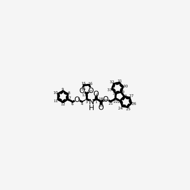 O=C(N[C@@H](COCc1ccccc1)C1OCCO1)C(=O)OCC1c2ccccc2-c2ccccc21